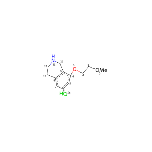 COCCOc1cccc2c1CNCC2.Cl